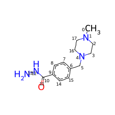 CN1CCN(Cc2ccc(C(=O)NN)cc2)CC1